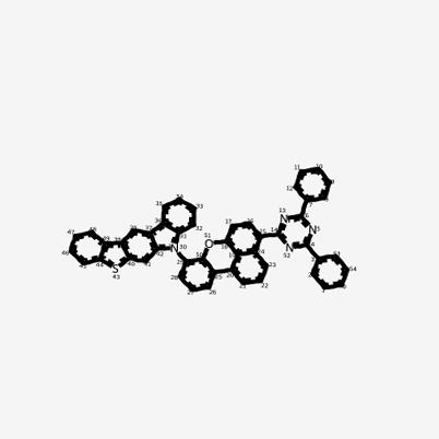 c1ccc(-c2nc(-c3ccccc3)nc(-c3ccc4c5c(cccc35)-c3cccc(-n5c6ccccc6c6cc7c(cc65)sc5ccccc57)c3O4)n2)cc1